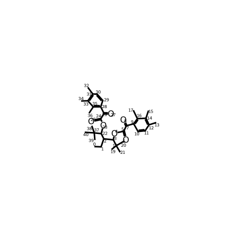 CCC(C(OC(=O)C(=O)c1ccc(C)c(C)c1C)C(C)(C)C)C(OC(=O)C(=O)c1ccc(C)c(C)c1C)C(C)(C)C